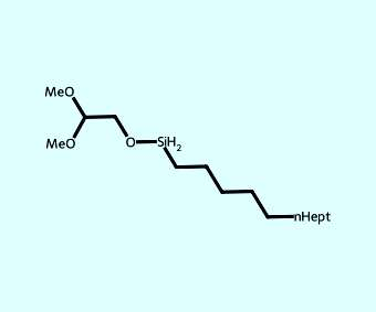 CCCCCCCCCCCC[SiH2]OCC(OC)OC